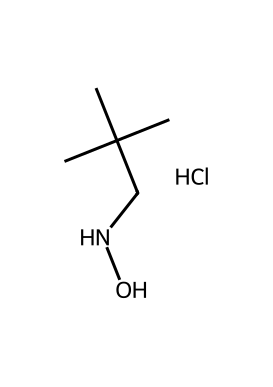 CC(C)(C)CNO.Cl